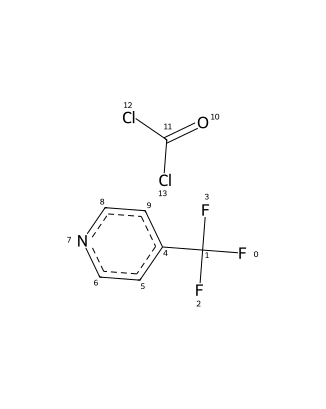 FC(F)(F)c1ccncc1.O=C(Cl)Cl